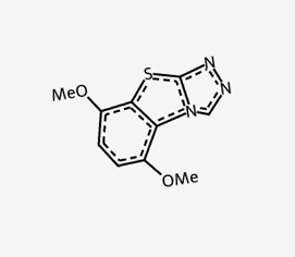 COc1ccc(OC)c2c1sc1nncn12